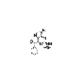 C[Si](C)(C)Nc1nc(C(=O)c2ccccc2)c2ncn([Si](C)(C)C)c2n1